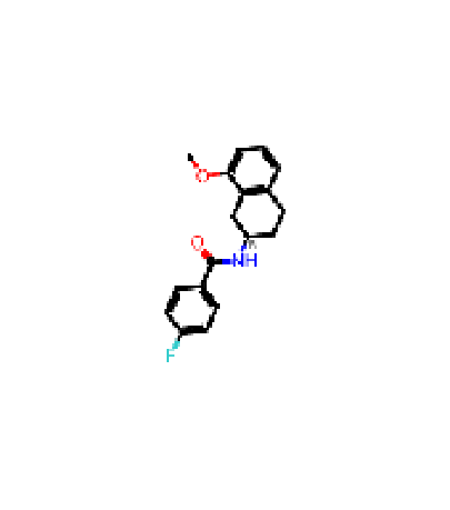 COc1cccc2c1C[C@H](NC(=O)c1ccc(F)cc1)CC2